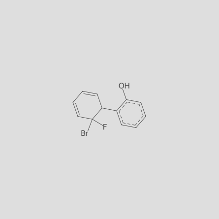 Oc1ccccc1C1C=CC=CC1(F)Br